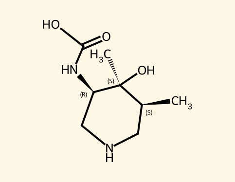 C[C@H]1CNC[C@@H](NC(=O)O)[C@@]1(C)O